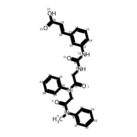 CN(C(=O)CN(C(=O)CNC(=O)Nc1cccc(/C=C/C(=O)O)c1)c1ccccc1)c1ccccc1